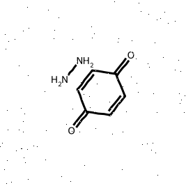 NN.O=C1C=CC(=O)C=C1